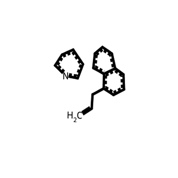 C=CCc1cccc2ccccc12.c1ccncc1